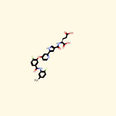 Cc1ccc(F)c(NC(=O)c2ccc(F)c(Oc3ccnc(-c4cc(C(=O)N[C@@H](CCC(=O)O)C(=O)O)c[nH]4)c3)c2)c1